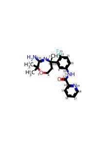 CC1(C)OCC[C@@](C)(c2cc(NC(=O)c3ccccn3)ccc2F)N=C1N